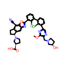 COc1nc(-c2cccc(-c3cccc(-c4nc5cc6c(c(C#N)c5o4)CC[C@H]6N4CC[C@@H](C(=O)O)C4)c3Cl)c2Cl)cnc1CN1CC[C@@H](O)C1